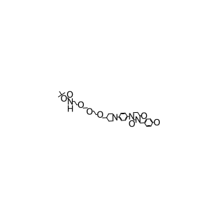 COc1ccc(CN2C(=O)CCN(c3ccc(N4CCC(COCCOCCOCCNC(=O)OC(C)(C)C)CC4)cc3)C2=O)cc1